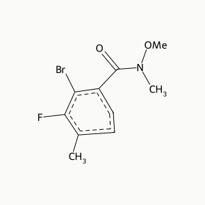 CON(C)C(=O)c1ccc(C)c(F)c1Br